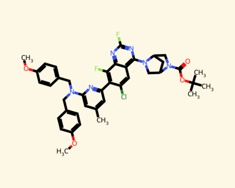 COc1ccc(CN(Cc2ccc(OC)cc2)c2cc(C)cc(-c3c(Cl)cc4c(N5CC6CC5CN6C(=O)OC(C)(C)C)nc(F)nc4c3F)n2)cc1